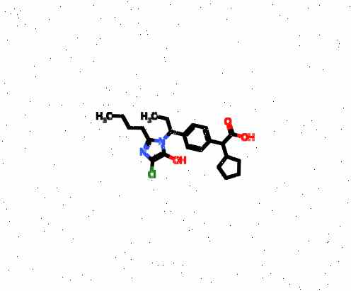 CCCCc1nc(Cl)c(O)n1C(CC)c1ccc(C(C(=O)O)C2CCCC2)cc1